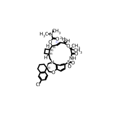 [2H]C1([2H])/C=C/[C@H](OC(=O)N(C)C)[C@@H]2CC[C@H]2CN2C[C@@]3(CCCc4cc(Cl)ccc43)COc3ccc(cc32)S(=O)(=O)NC(=O)C(C)(C)O1